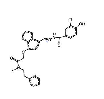 CN(CCc1ccccn1)C(=O)COc1ccc(/C=N/NC(=O)c2ccc(O)c(Cl)c2)c2ccccc12